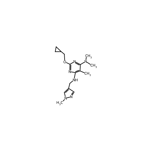 Cc1c(NCc2cnn(C)c2)nc(OCC2CC2)nc1N(C)C